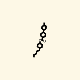 CCCCCC1CCC(OC(=O)C2CCC(C3CCC(C)CC3)CC2)CC1